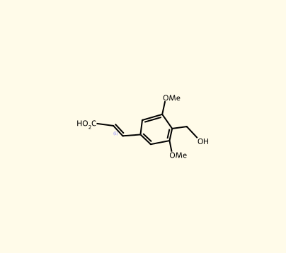 COc1cc(/C=C/C(=O)O)cc(OC)c1CO